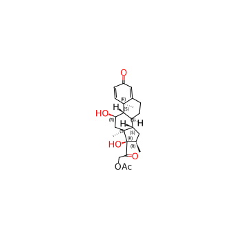 CC(=O)OCC(=O)[C@@]1(O)[C@H](C)C[C@H]2[C@@H]3CCC4=CC(=O)C=C[C@]4(C)[C@H]3[C@H](O)C[C@@]21C